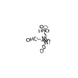 C/C=C\c1nc(-c2ccc(Cl)cc2)c(CCCCC=O)nc1/C=C/C(=O)NC1CCCCc2ccccc21